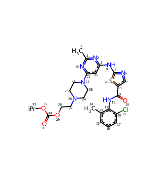 Cc1nc(Nc2ncc(C(=O)Nc3c(C)cccc3Cl)s2)cc(N2CCN(CCOC(=O)OC(C)C)CC2)n1